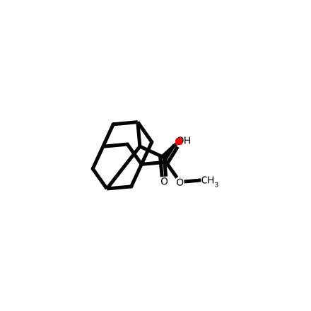 COC(=O)C12CC3CC(C1)C(C(=O)O)C(C3)C2